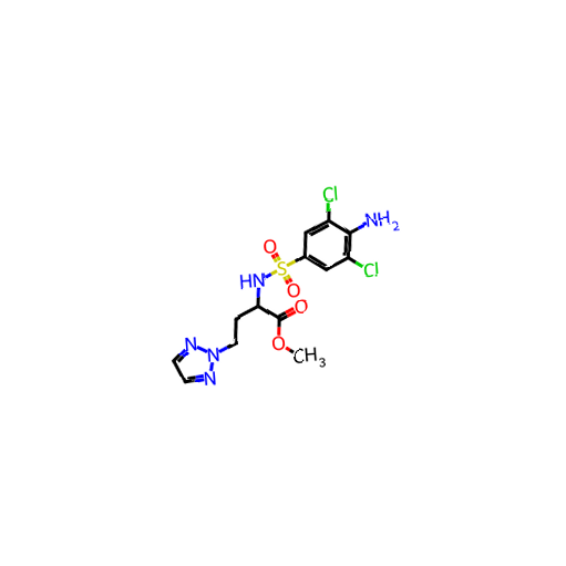 COC(=O)C(CCn1nccn1)NS(=O)(=O)c1cc(Cl)c(N)c(Cl)c1